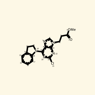 COC(=O)CCn1cnc2c(N3CCc4ccccc43)nc(Cl)nc21